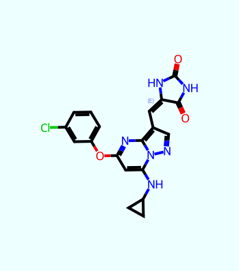 O=C1NC(=O)/C(=C\c2cnn3c(NC4CC4)cc(Oc4cccc(Cl)c4)nc23)N1